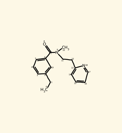 CCc1cccc(C(=O)N(C)CCc2ccccn2)c1